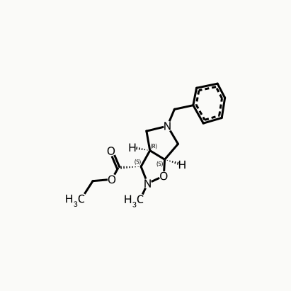 CCOC(=O)[C@@H]1[C@H]2CN(Cc3ccccc3)C[C@H]2ON1C